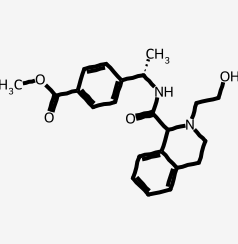 COC(=O)c1ccc([C@H](C)NC(=O)C2c3ccccc3CCN2CCO)cc1